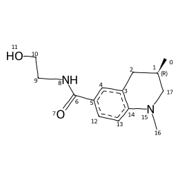 C[C@@H]1Cc2cc(C(=O)NCCO)ccc2N(C)C1